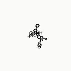 CC(C)(C)OC(=O)Nc1ccc(-c2ccccc2)cc1NC(=O)c1ccc2c(c1)cc(C1CC1)n2CCN1CCOCC1